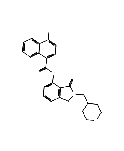 O=C(Nc1cccc2c1C(=O)N(CC1CCOCC1)C2)c1ccc(F)c2ccccc12